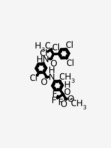 COC(=O)C(O)(c1ccc(NC(=O)c2cc(NC(=O)C(c3cc(Cl)cc(Cl)c3)C(C)(Cl)Cl)ccc2Cl)c(C)c1)C(F)(F)F